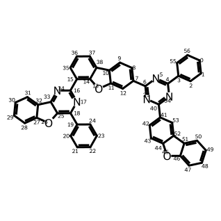 c1ccc(-c2nc(-c3ccc4c(c3)oc3c(-c5nc(-c6ccccc6)c6oc7ccccc7c6n5)cccc34)nc(-c3ccc4oc5ccccc5c4c3)n2)cc1